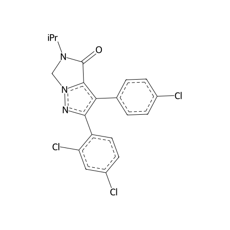 CC(C)N1Cn2nc(-c3ccc(Cl)cc3Cl)c(-c3ccc(Cl)cc3)c2C1=O